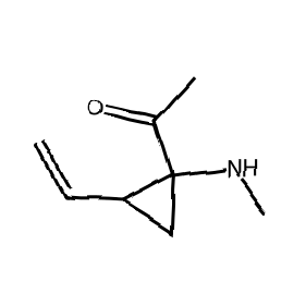 C=CC1CC1(NC)C(C)=O